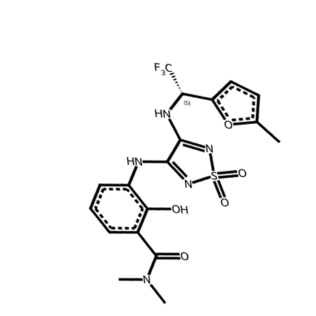 Cc1ccc([C@H](NC2=NS(=O)(=O)N=C2Nc2cccc(C(=O)N(C)C)c2O)C(F)(F)F)o1